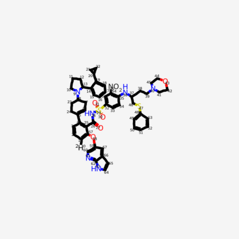 [2H]c1ccc(C2=CCC(N3CCCC3c3ccccc3C3CC3)CC2)c(C(=O)NS(=O)(=O)c2ccc(NC(CCN3CCOCC3)CSc3ccccc3)c([N+](=O)[O-])c2)c1Oc1cnc2[nH]ccc2c1